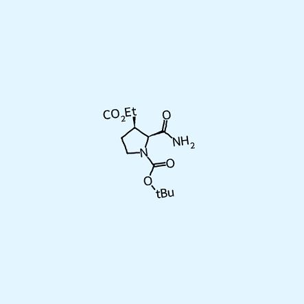 CCOC(=O)[C@@H]1CCN(C(=O)OC(C)(C)C)[C@@H]1C(N)=O